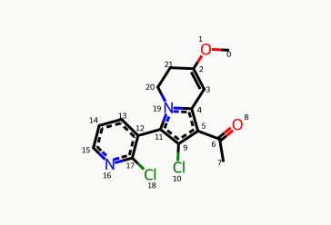 COC1=Cc2c(C(C)=O)c(Cl)c(-c3cccnc3Cl)n2CC1